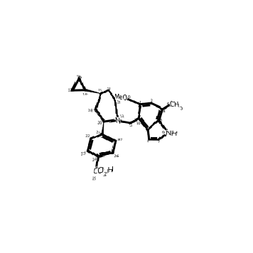 COc1cc(C)c2[nH]ccc2c1CN1CC[C@H](C2CC2)C[C@@H]1c1ccc(C(=O)O)cc1